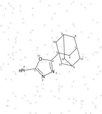 CCCc1nnc(C23CC4CC(CC(C4)C2)C3)o1